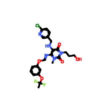 Cn1c(/N=C/Oc2cccc(OC(C)(F)F)c2)c(NCc2ccc(Cl)nc2)c(=O)n(CCCO)c1=O